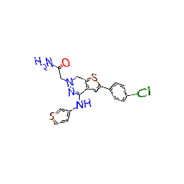 NC(=O)CN1Cc2sc(-c3ccc(Cl)cc3)cc2C(Nc2ccsc2)=N1